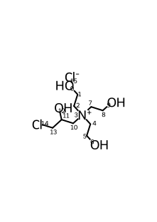 OCC[N+](CCO)(CCO)CC(O)CCl.[Cl-]